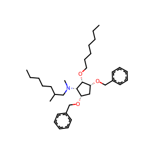 CCCCCCCO[C@H]1[C@@H](N(C)CC(C)CCCCC)[C@@H](OCc2ccccc2)C[C@H]1OCc1ccccc1